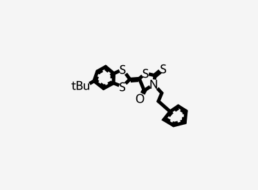 CC(C)(C)c1ccc2c(c1)S/C(=C1/SC(=S)N(CCc3ccccc3)C1=O)S2